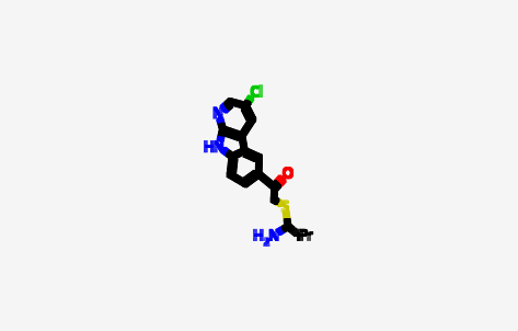 CC(C)C(N)SCC(=O)c1ccc2[nH]c3ncc(Cl)cc3c2c1